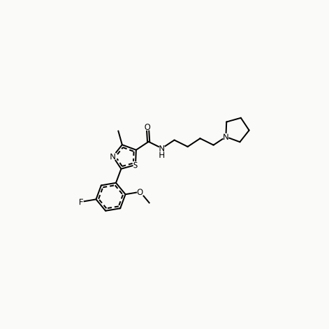 COc1ccc(F)cc1-c1nc(C)c(C(=O)NCCCCN2CCCC2)s1